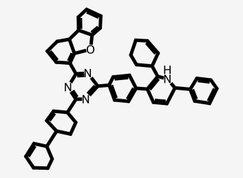 C1=CC(C2=C(c3ccc(-c4nc(C5=C6Oc7ccccc7C6CC=C5)nc(C5C=CC(C6C=CCCC6)CC5)n4)cc3)C=CC(c3ccccc3)N2)CCC1